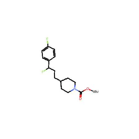 CC(C)(C)OC(=O)N1CCC(CCC(F)c2ccc(F)cc2)CC1